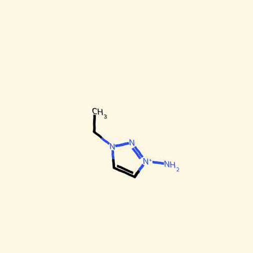 CCn1cc[n+](N)n1